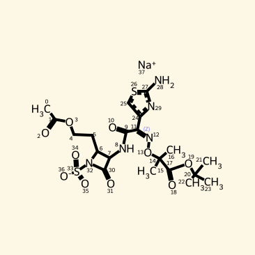 CC(=O)OCCC1C(NC(=O)/C(=N\OC(C)(C)C(=O)OC(C)(C)C)c2csc(N)n2)C(=O)N1S(=O)(=O)[O-].[Na+]